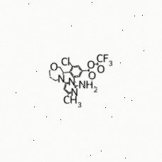 Cc1cc(N2CCCOCC2c2ccc(C(=O)OC(=O)C(F)(F)F)cc2Cl)nc(N)n1